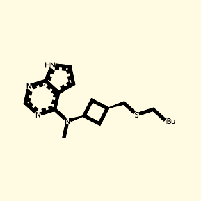 CCC(C)CSC[C@H]1C[C@@H](N(C)c2ncnc3[nH]ccc23)C1